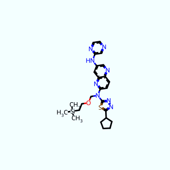 C[Si](C)(C)CCOCN(c1ccc2ncc(Nc3cnccn3)cc2n1)c1nnc(C2CCCC2)s1